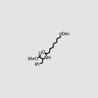 CCCCCCCCCCCCCCCCCC(=O)NC(CC(C)C)C(=O)OC